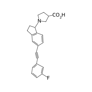 O=C(O)C1CCN(C2CCc3cc(C#Cc4cccc(F)c4)ccc32)C1